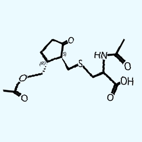 CC(=O)NC(CSC[C@@H]1C(=O)CC[C@H]1COC(C)=O)C(=O)O